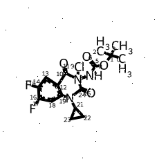 CC(C)(C)OC(=O)N[N+]1(Cl)C(=O)c2cc(F)c(F)cc2N(C2CC2)C1=O